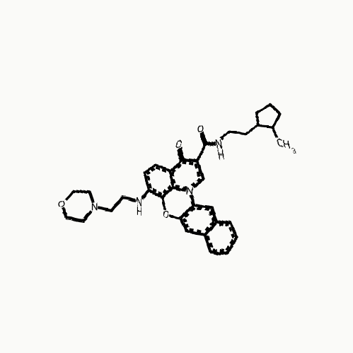 CC1CCCC1CCNC(=O)c1cn2c3c(c(NCCN4CCOCC4)ccc3c1=O)Oc1cc3ccccc3cc1-2